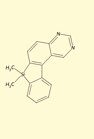 C[Si]1(C)c2ccccc2-c2c1ccc1ncncc21